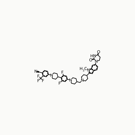 Cn1c(C2CCN(CC3CCN(c4cc(F)c(C5CCN(c6ccc(C#N)c(C(F)(F)F)c6)CC5)c(F)c4)CC3)CC2)cc2ccc(N3CCC(=O)NC3=O)cc21